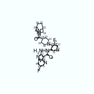 Nc1nn2cc(F)cnc2c1C(=O)Nc1cncc(F)c1N1CCC(C(=O)N2CC3CCC(C2)N3)CC1